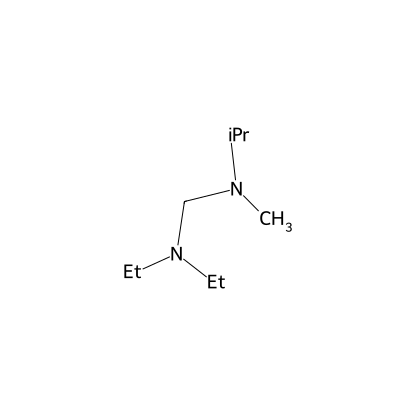 CCN(CC)CN(C)C(C)C